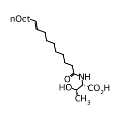 CCCCCCCC/C=C/CCCCCCCC(=O)N[C@H](C(=O)O)[C@@H](C)O